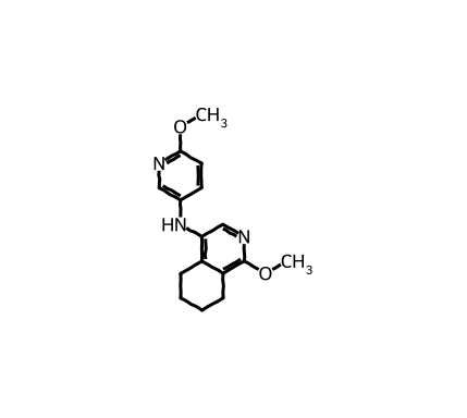 COc1ccc(Nc2cnc(OC)c3c2CCCC3)cn1